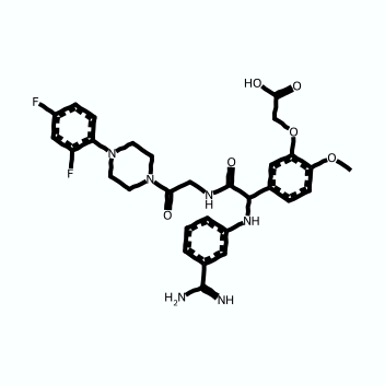 COc1ccc(C(Nc2cccc(C(=N)N)c2)C(=O)NCC(=O)N2CCN(c3ccc(F)cc3F)CC2)cc1OCC(=O)O